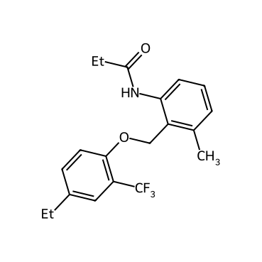 CCC(=O)Nc1cccc(C)c1COc1ccc(CC)cc1C(F)(F)F